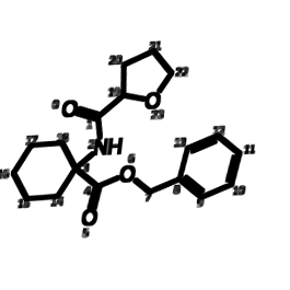 O=C(NC1(C(=O)OCc2ccccc2)CCCCC1)C1CCCO1